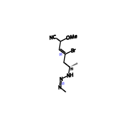 C/N=N\N[C@@H](C)C/C(Br)=C/C(C#N)OC